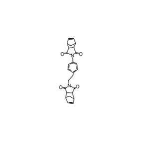 O=C1C2C3C=CC(C3)C2C(=O)N1CCc1ccc(N2C(=O)C3C4C=CC(C4)C3C2=O)cc1